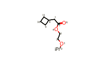 CC(C)OCCOC(=O)CC1CCC1